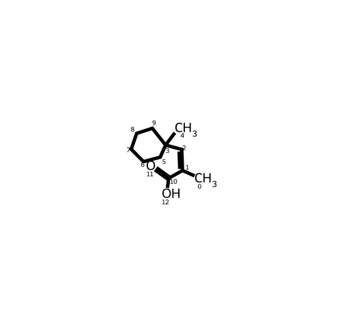 CC(=CC1(C)CCCCC1)C(=O)O